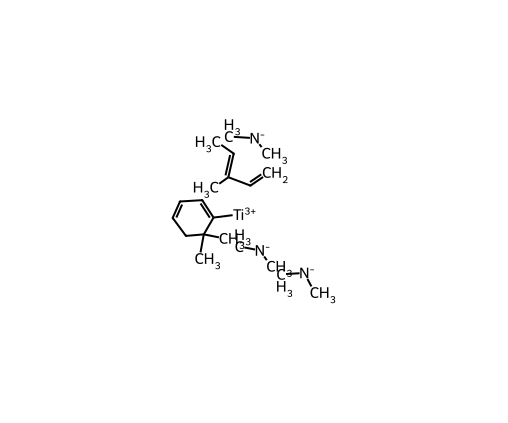 C=CC(C)=CC.CC1(C)CC=CC=[C]1[Ti+3].C[N-]C.C[N-]C.C[N-]C